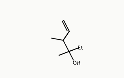 C=CC(C)C(C)(O)CC